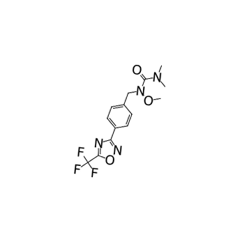 CON(Cc1ccc(-c2noc(C(F)(F)F)n2)cc1)C(=O)N(C)C